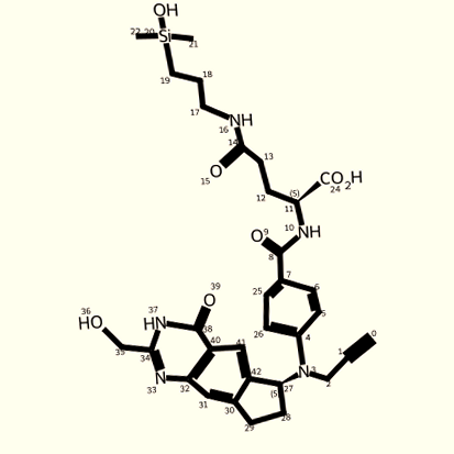 C#CCN(c1ccc(C(=O)N[C@@H](CCC(=O)NCCC[Si](C)(C)O)C(=O)O)cc1)[C@H]1CCc2cc3nc(CO)[nH]c(=O)c3cc21